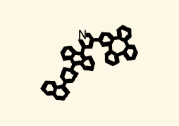 c1ccc2c(c1)-c1ccccc1-c1ccc(-c3cncc(-c4c5ccccc5c(-c5ccc(-c6cccc7ccccc67)cc5)c5ccccc45)c3)cc1-c1ccccc1-2